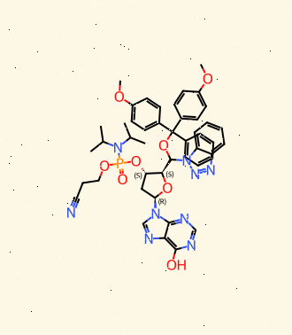 COc1ccc(C(OC([C@H]2O[C@@H](n3cnc4c(O)ncnc43)C[C@@H]2OP(=O)(OCCC#N)N(C(C)C)C(C)C)n2nnc3ccccc32)(c2ccccc2)c2ccc(OC)cc2)cc1